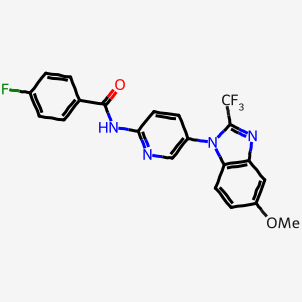 COc1ccc2c(c1)nc(C(F)(F)F)n2-c1ccc(NC(=O)c2ccc(F)cc2)nc1